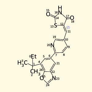 CCC(C)(C)c1cc(-c2ccc(/C=C3\SC(=O)NC3=O)cn2)cc2ncoc12